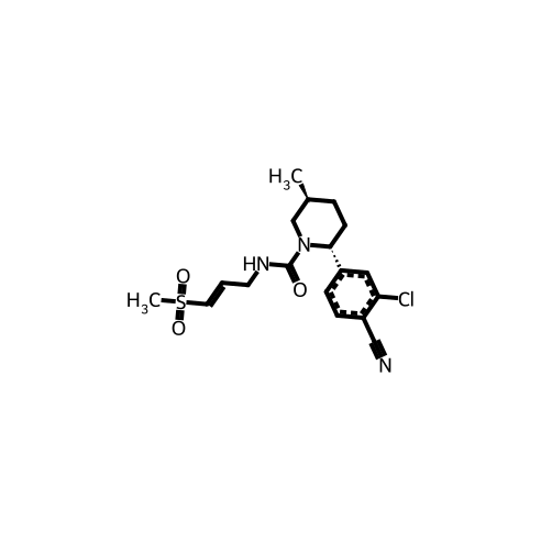 C[C@H]1CC[C@H](c2ccc(C#N)c(Cl)c2)N(C(=O)NC/C=C/S(C)(=O)=O)C1